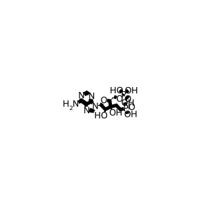 Nc1ncnc2c1ncn2[C@@H]1O[C@H](COP(=O)(O)O)[C@](O)(CCP(=O)(O)O)[C@H]1O